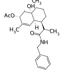 CC(=O)O[C@@H]1[CH][C@@]2(O)[C@H](C)CC[C@@H](C(C)C(=O)NCc3ccccc3)[C@H]2C=C1C